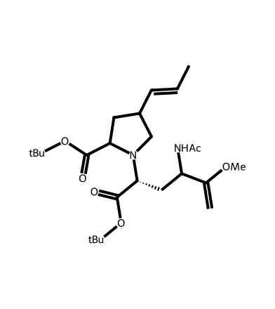 C=C(OC)C(C[C@H](C(=O)OC(C)(C)C)N1CC(C=CC)CC1C(=O)OC(C)(C)C)NC(C)=O